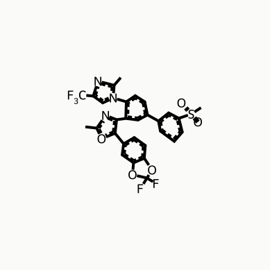 Cc1nc(-c2cc(-c3cccc(S(C)(=O)=O)c3)ccc2-n2cc(C(F)(F)F)nc2C)c(-c2ccc3c(c2)OC(F)(F)O3)o1